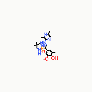 COc1cc(C(CNc2ncc(C)nc2C)P2(=O)NCC(C)(C)CN2)cc(C)c1O